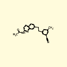 [CH2]c1cc(C#N)cc(CCc2ccc3ccc(NC(C)=O)nc3c2)c1